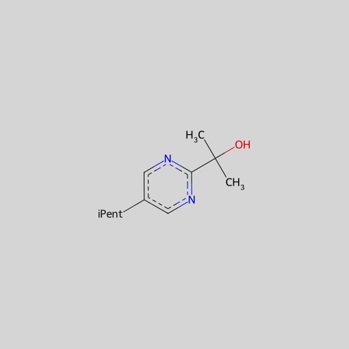 CCCC(C)c1cnc(C(C)(C)O)nc1